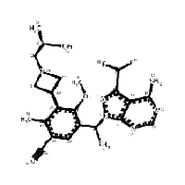 COc1c(C(C)n2nc(C(F)F)c3c(N)ncnc32)cc(C#N)c(C)c1C1CN(C[C@@H](C)O)C1